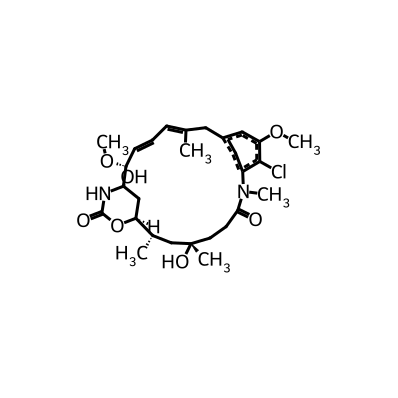 COc1cc2cc(c1Cl)N(C)C(=O)CC[C@](C)(O)C[C@H](C)[C@@H]1C[C@@](O)(NC(=O)O1)[C@H](OC)/C=C/C=C(\C)C2